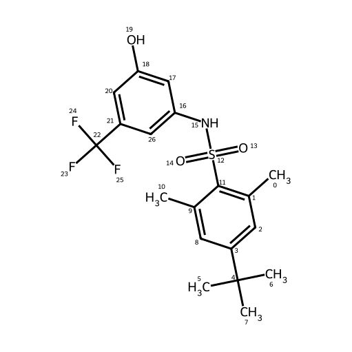 Cc1cc(C(C)(C)C)cc(C)c1S(=O)(=O)Nc1cc(O)cc(C(F)(F)F)c1